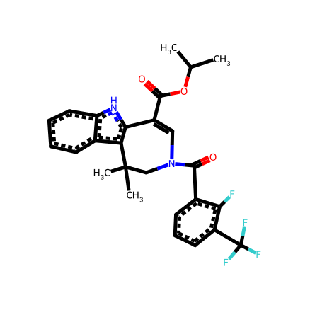 CC(C)OC(=O)C1=CN(C(=O)c2cccc(C(F)(F)F)c2F)CC(C)(C)c2c1[nH]c1ccccc21